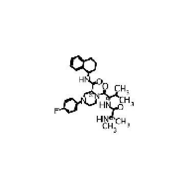 CN[C@@H](C)C(=O)N[C@H](C(=O)N1CCN(c2ccc(F)cc2)C[C@H]1C(=O)NC1CCCc2ccccc21)C(C)C